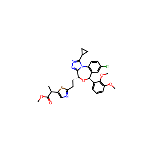 COC(=O)C(C)c1cnc(CC[C@H]2O[C@H](c3cccc(OC)c3OC)c3cc(Cl)ccc3-n3c(C4CC4)nnc32)s1